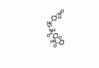 O=C(NCc1cnc(-c2ccc(CNCl)cc2)s1)c1ccc2c(c1)NC(=O)c1ccccc1O2